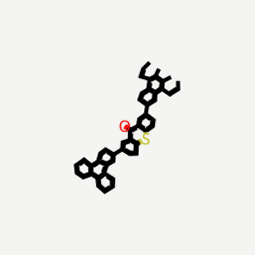 C/C=C\c1c(C)c(C)c(/C=C\C)c2cc(-c3ccc4sc5ccc(-c6ccc7c8ccccc8c8ccccc8c7c6)cc5c(=O)c4c3)ccc12